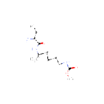 CC(C)CC(N)C(=O)NC(CCCCNC(=O)OC(C)(C)C)C(=O)O